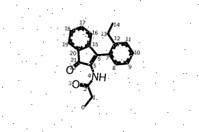 CCC(=O)NC1=C(c2ccccc2CC)c2ccccc2C1=O